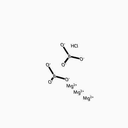 Cl.[Mg+2].[Mg+2].[Mg+2].[O-]B([O-])[O-].[O-]B([O-])[O-]